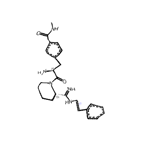 CNC(=O)c1ccc(C[C@H](N)C(=O)N2CCCC[C@H]2C(=N)N/C=C/c2ccccc2)cc1